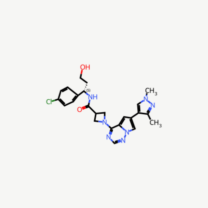 Cc1nn(C)cc1-c1cc2c(N3CC(C(=O)N[C@@H](CCO)c4ccc(Cl)cc4)C3)ncnn2c1